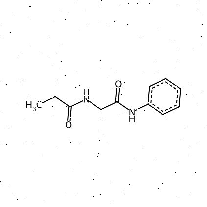 CCC(=O)NCC(=O)Nc1ccccc1